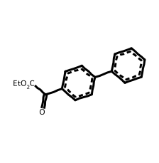 CCOC(=O)C(=O)c1ccc(-c2ccccc2)cc1